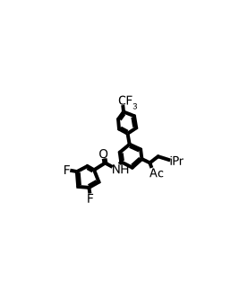 CC(=O)C(CC(C)C)c1cc(NC(=O)c2cc(F)cc(F)c2)cc(-c2ccc(C(F)(F)F)cc2)c1